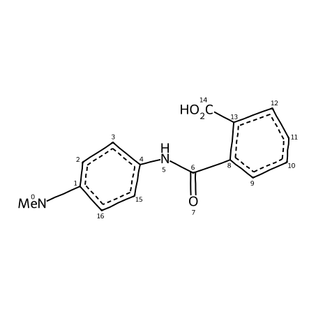 CNc1ccc(NC(=O)c2ccccc2C(=O)O)cc1